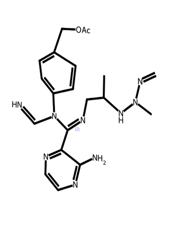 C=NN(C)NC(C)C/N=C(/c1nccnc1N)N(C=N)c1ccc(COC(C)=O)cc1